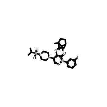 CC(C)S(=O)(=O)N1CCN(c2cnn(-c3cccc(F)c3)c(=O)c2OC2CC3CCC2(C)C3(C)C)CC1